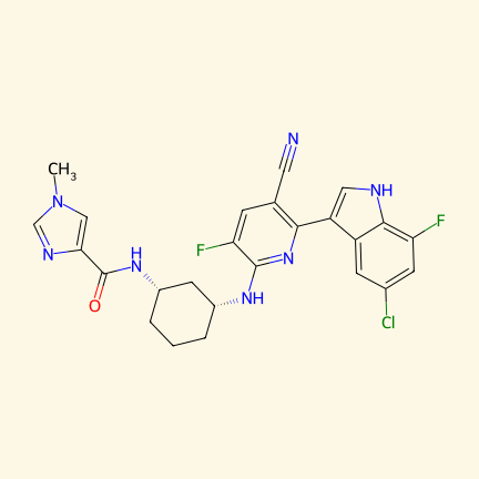 Cn1cnc(C(=O)N[C@H]2CCC[C@@H](Nc3nc(-c4c[nH]c5c(F)cc(Cl)cc45)c(C#N)cc3F)C2)c1